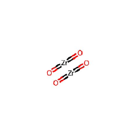 [O]=[Zr]=[O].[O]=[Zr]=[O]